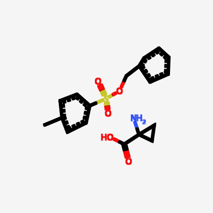 Cc1ccc(S(=O)(=O)OCc2ccccc2)cc1.NC1(C(=O)O)CC1